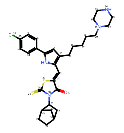 O=C1/C(=C/c2[nH]c(-c3ccc(Cl)cc3)cc2CCCCCN2CCNCC2)SC(=S)N1C1CC2CCC1C2